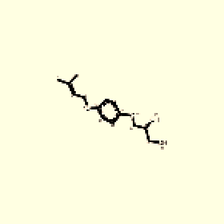 CC(C)=CCOc1ccc(OCC(O)CO)cc1